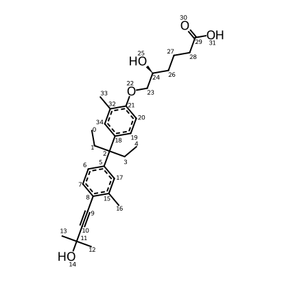 CCC(CC)(c1ccc(C#CC(C)(C)O)c(C)c1)c1ccc(OC[C@@H](O)CCCC(=O)O)c(C)c1